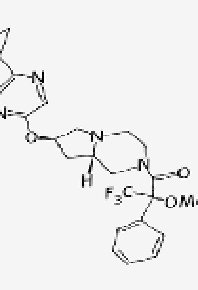 COC(C(=O)N1CCN2C[C@H](Oc3cnc(C4CC4)cn3)C[C@H]2C1)(c1ccccc1)C(F)(F)F